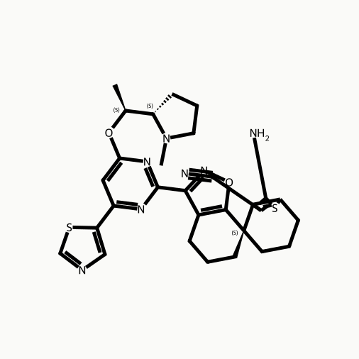 C[C@H](Oc1cc(-c2cncs2)nc(-c2noc3c2CCC[C@@]32CCCc3sc(N)c(C#N)c32)n1)[C@@H]1CCCN1C